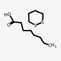 C1CCSSC1.CCCCCCCC(=O)O